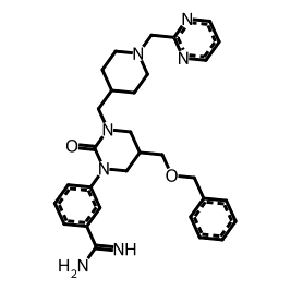 N=C(N)c1cccc(N2CC(COCc3ccccc3)CN(CC3CCN(Cc4ncccn4)CC3)C2=O)c1